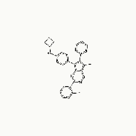 Cc1c(-c2ccccc2)n(-c2ccc(NC3CCC3)cc2)c2nc(-c3ccccc3F)ncc12